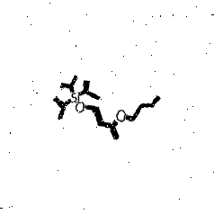 C=C(/C=C/O[Si](C(C)C)(C(C)C)C(C)C)OCCCC